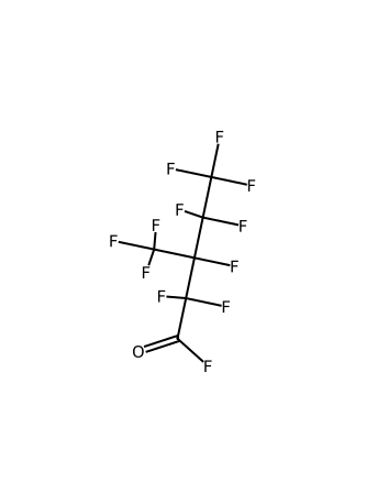 O=C(F)C(F)(F)C(F)(C(F)(F)F)C(F)(F)C(F)(F)F